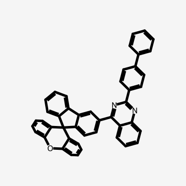 c1ccc(-c2ccc(-c3nc(-c4ccc5c(c4)-c4ccccc4C54c5ccccc5Oc5ccccc54)c4ccccc4n3)cc2)cc1